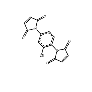 N#Cc1cc(N2C(=O)C=CC2=O)ccc1N1C(=O)C=CC1=O